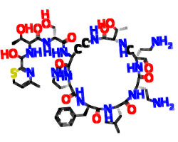 CC1=CCSC(C(O)N[C@H](C(=O)N[C@H](CO)C(=O)N[C@H]2CCNC(=O)[C@H]([C@@H](C)O)NC[C@](C=O)(CCN)NC(=O)[C@H](CCN)NC(=O)[C@H](CC(C)C)NC(=O)[C@@H](Cc3ccccc3)NC(=O)[C@H](CCN)NC2=O)[C@@H](C)O)=N1